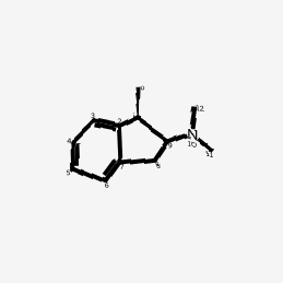 C[C@@H]1c2ccccc2CC1N(C)C